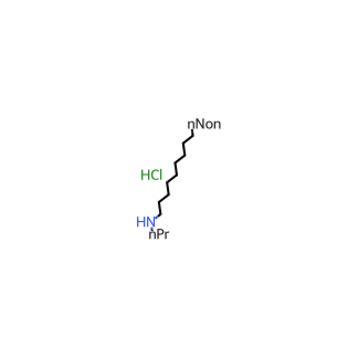 CCCCCCCCCCCCCCCCCCNCCC.Cl